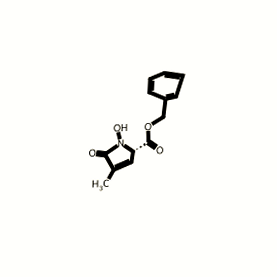 CC1=C[C@@H](C(=O)OCc2ccccc2)N(O)C1=O